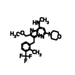 CNc1cc(N2CCOCC2)nn2c(Cc3cccc(C(F)(F)F)c3C)c(COC)nc12